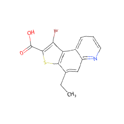 CCc1cc2ncccc2c2c(Br)c(C(=O)O)sc12